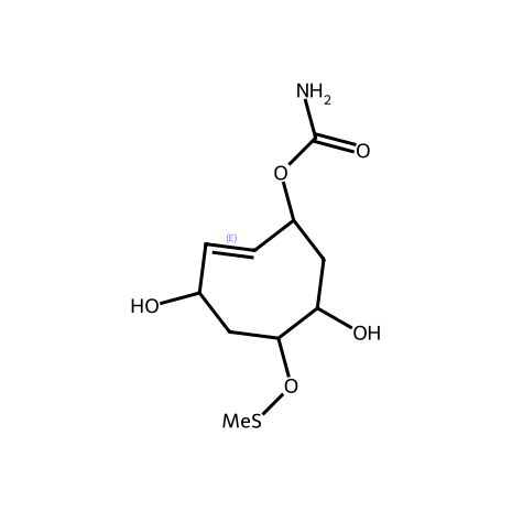 CSOC1CC(O)/C=C/C(OC(N)=O)CC1O